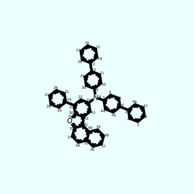 c1ccc(-c2ccc(N(c3ccc(-c4ccccc4)cc3)c3cc(-c4ccccc4)c4oc5ccc6ccccc6c5c4c3)cc2)cc1